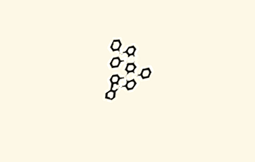 c1ccc(N2c3ccccc3B3c4cc5c(cc4Oc4cccc2c43)N(c2ccccc2)c2cccc3c2B5c2cccc4c5ccccc5n-3c24)cc1